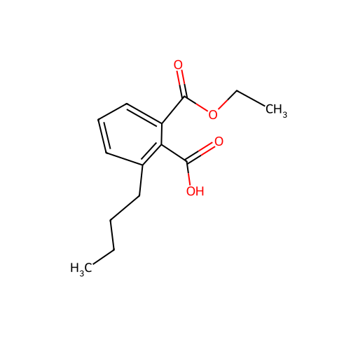 CCCCc1cccc(C(=O)OCC)c1C(=O)O